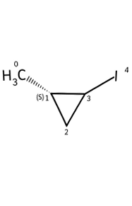 C[C@H]1CC1I